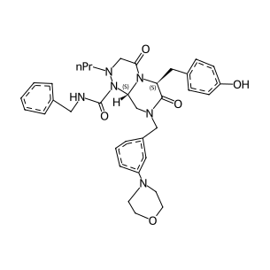 CCCN1CC(=O)N2[C@@H](Cc3ccc(O)cc3)C(=O)N(Cc3cccc(N4CCOCC4)c3)C[C@@H]2N1C(=O)NCc1ccccc1